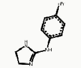 CCCc1ccc(NC2=NCCN2)cc1